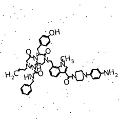 C=CCN1CC(=O)N2[C@@H](Cc3ccc(O)cc3)C(=O)N(Cc3cccc4c(C(=O)N5CCN(c6ccc(N)cc6)CC5)cn(C)c34)C[C@@H]2N1C(=O)NCc1ccccc1